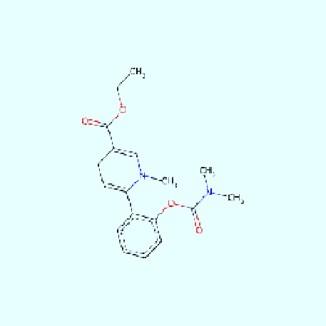 CCOC(=O)C1=CN(C)C(c2ccccc2OC(=O)N(C)C)=CC1